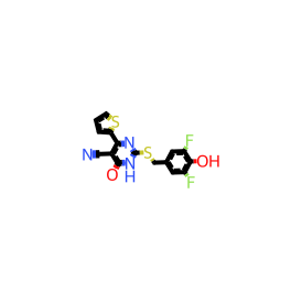 N#Cc1c(-c2cccs2)nc(SCc2cc(F)c(O)c(F)c2)[nH]c1=O